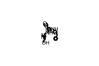 OCCn1cc(CNc2nc(NC3CCN(Cc4ccccc4)CC3)cc(N3CCOCC3)n2)nn1